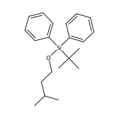 CC(C)CCO[Si](c1ccccc1)(c1ccccc1)C(C)(C)C